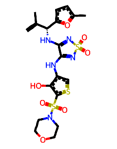 C=C(C)[C@@H](NC1=NS(=O)(=O)N=C1Nc1csc(S(=O)(=O)N2CCOCC2)c1O)c1ccc(C)o1